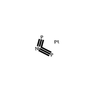 [P]#[Ni]#[P].[Pt]